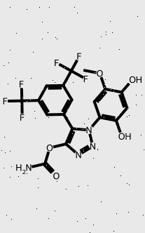 COc1cc(-n2nnc(OC(N)=O)c2-c2cc(C(F)(F)F)cc(C(F)(F)F)c2)c(O)cc1O